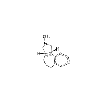 CN1C[C@H]2CCCc3ccccc3[C@H]2C1